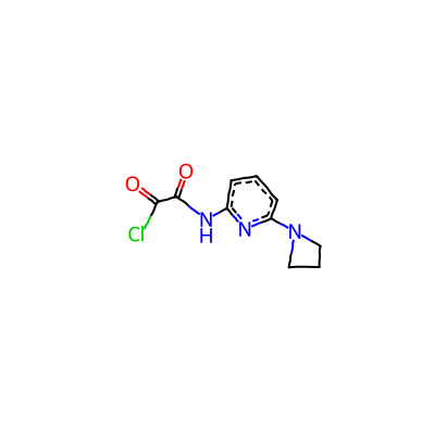 O=C(Cl)C(=O)Nc1cccc(N2CCC2)n1